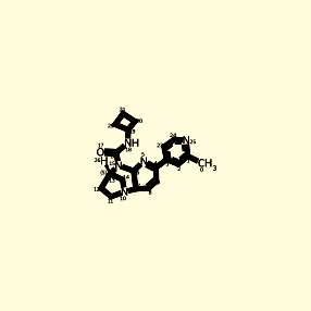 Cc1cc(C2=NC3C(C=C2)N2CC[C@@H](C2)N3C(=O)NC2CCC2)ccn1